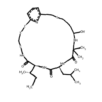 CC[C@H](C)[C@@H]1NC(=O)[C@H](CC(C)C)NC(=O)C(C)(C)NC(O)CCSCc2cccc(n2)CSCCNC1=O